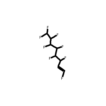 FC=CC(F)C(F)C(F)C(F)C(F)C(F)F